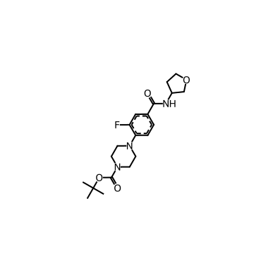 CC(C)(C)OC(=O)N1CCN(c2ccc(C(=O)NC3CCOC3)cc2F)CC1